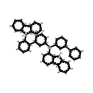 c1ccc(-c2cccc(N(c3cccc(-c4ccccc4-n4c5ccccc5c5ccccc54)c3)c3cccc4c3sc3ccccc34)c2)cc1